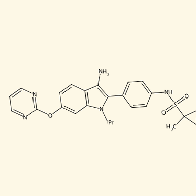 CC(C)n1c(-c2ccc(NS(=O)(=O)C3(C)CC3)cc2)c(N)c2ccc(Oc3ncccn3)cc21